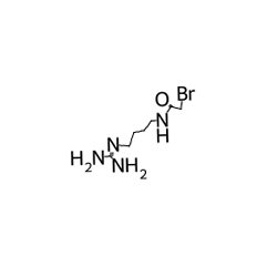 NC(N)=NCCCCNC(=O)CBr